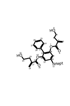 C=C(CCO)C(=O)Oc1cc(CCCCCCC)cc(OC(=O)C(=C)CCO)c1-c1ccccc1